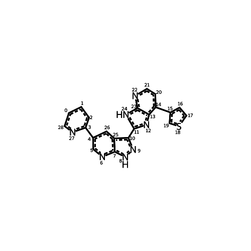 c1ccc(-c2cnc3[nH]nc(-c4nc5c(-c6ccsc6)ccnc5[nH]4)c3c2)nc1